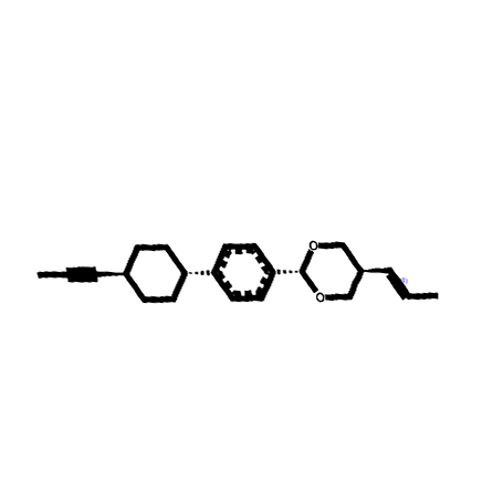 CC#C[C@H]1CC[C@H](c2ccc([C@H]3OC[C@H](/C=C/C)CO3)cc2)CC1